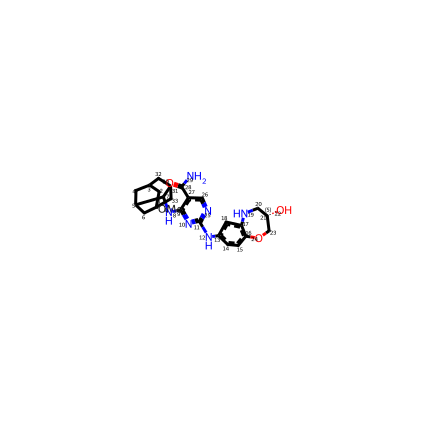 COC12CC3CC(C1)C(Nc1nc(Nc4ccc5c(c4)NC[C@H](O)CO5)ncc1C(N)=O)C(C3)C2